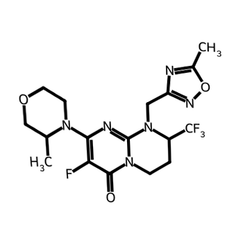 Cc1nc(CN2c3nc(N4CCOCC4C)c(F)c(=O)n3CCC2C(F)(F)F)no1